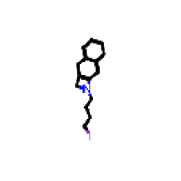 ICCCCN1CC2=C1CC1CCCCC1C2